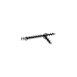 CCCCCCCOC(CCCCCCCCCCC/C=C/CCO)OCCCCCCC